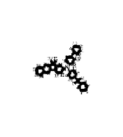 CC(C)(c1ccccc1)c1ccc(N(c2ccc3c(c2)C(C)(C)c2cc4ccccc4cc2-3)c2ccc3c(c2)oc2ccccc23)cc1